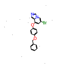 Brc1cc(Oc2ccc(OCc3ccccc3)cc2)c2cncn2c1